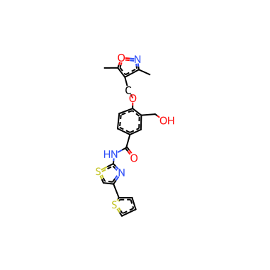 Cc1noc(C)c1COc1ccc(C(=O)Nc2nc(-c3cccs3)cs2)cc1CO